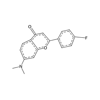 CN(C)c1ccc2c(=O)cc(-c3ccc(F)cc3)oc2c1